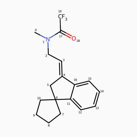 CN(CC=C1CC2(CCCC2)c2ccccc21)C(=O)C(F)(F)F